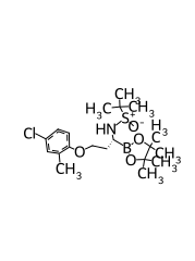 Cc1cc(Cl)ccc1OCC[C@H](N[S+]([O-])C(C)(C)C)B1OC(C)(C)C(C)(C)O1